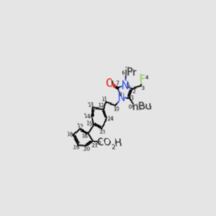 CCCCc1c(CF)n(C(C)C)c(=O)n1CCc1ccc(-c2ccccc2C(=O)O)cc1